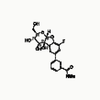 CNC(=O)c1cccc(-c2cc(F)c3c(c2)[C@@]2(O)[C@@H](O3)O[C@H](CO)[C@@H](O)[C@@H]2O)c1